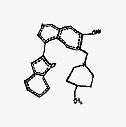 COc1cc2cncc(-c3cc4ccccc4o3)c2cc1CN1CCC(C)CC1